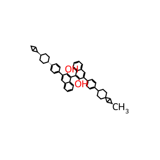 CC1C2C1C21CCC(c2ccc(-c3cc4ccccc4c(-c4c(O)c(-c5ccc([C@H]6CC[C@H](C7C8CC87)CC6)cc5)cc5ccccc45)c3O)cc2)CC1